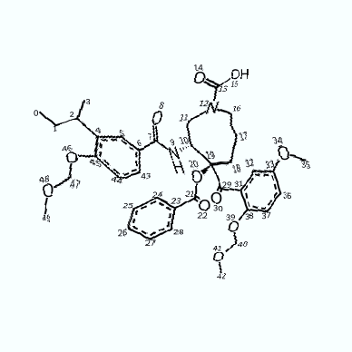 CCC(C)c1cc(C(=O)N[C@@H]2CN(C(=O)O)CCC[C@]2(OC(=O)c2ccccc2)C(=O)c2cc(OC)ccc2OCOC)ccc1OCOC